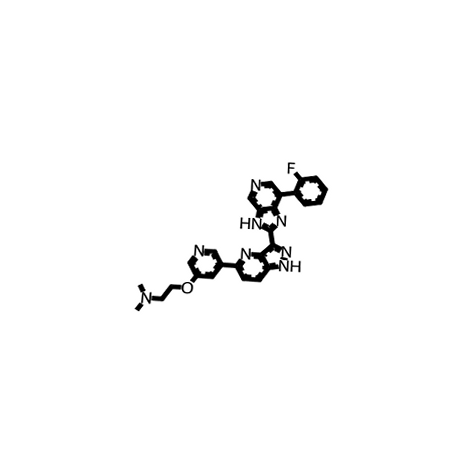 CN(C)CCOc1cncc(-c2ccc3[nH]nc(-c4nc5c(-c6ccccc6F)cncc5[nH]4)c3n2)c1